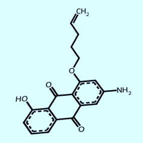 C=CCCCOc1cc(N)cc2c1C(=O)c1c(O)cccc1C2=O